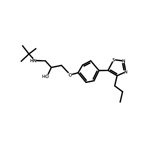 CCCc1nnsc1-c1ccc(OCC(O)CNC(C)(C)C)cc1